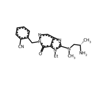 CCn1c(N(C)C[C@H](C)N)nc2cnn(Cc3ccccc3C#N)c(=O)c21